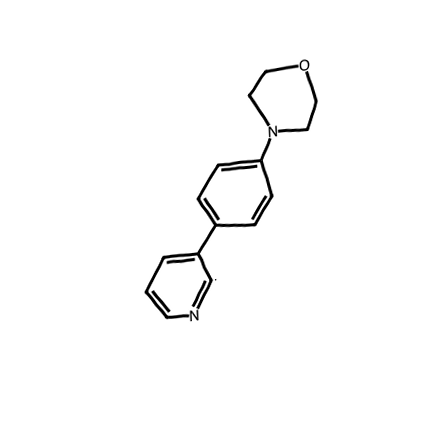 [c]1ncccc1-c1ccc(N2CCOCC2)cc1